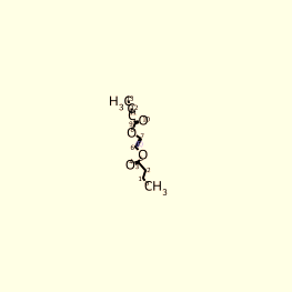 CCCC(=O)O/C=C/OC(=O)CCC